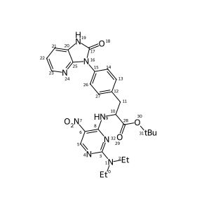 CCN(CC)c1ncc([N+](=O)[O-])c(NC(Cc2ccc(-n3c(=O)[nH]c4cccnc43)cc2)C(=O)OC(C)(C)C)n1